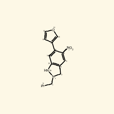 CC(C)CN1Cc2cc([N+](=O)[O-])c(-c3ccoc3)cc2N1